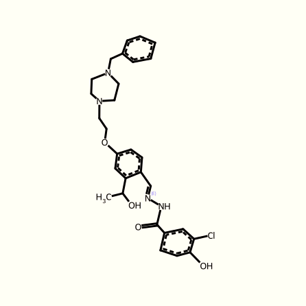 CC(O)c1cc(OCCN2CCN(Cc3ccccc3)CC2)ccc1/C=N/NC(=O)c1ccc(O)c(Cl)c1